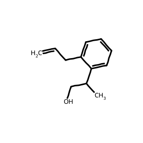 C=CCc1ccccc1C(C)CO